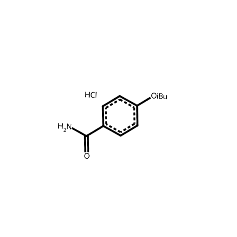 CC(C)COc1ccc(C(N)=O)cc1.Cl